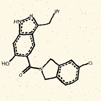 CC(C)Cc1n[nH]c2cc(O)c(C(=O)N3Cc4ccc(Cl)cc4C3)cc12